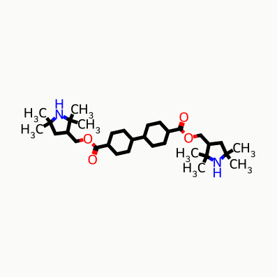 CC1(C)CC(COC(=O)C2CCC(C3CCC(C(=O)OCC4CC(C)(C)NC4(C)C)CC3)CC2)C(C)(C)N1